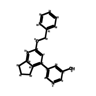 Oc1cncc(-c2cc(OCc3ccccn3)nc3c2CCC3)c1